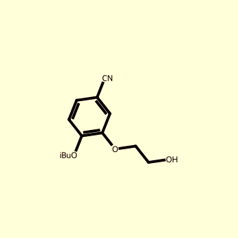 CC(C)COc1ccc(C#N)cc1OCCO